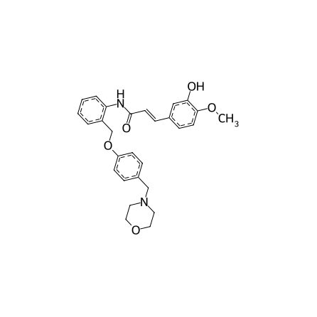 COc1ccc(C=CC(=O)Nc2ccccc2COc2ccc(CN3CCOCC3)cc2)cc1O